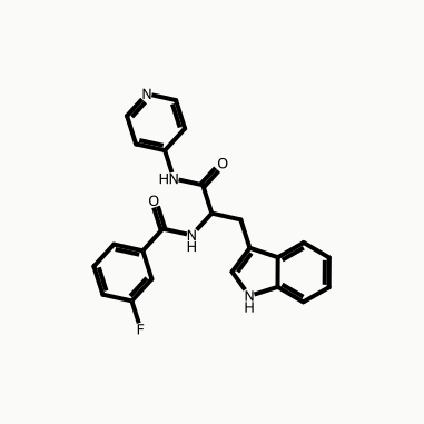 O=C(NC(Cc1c[nH]c2ccccc12)C(=O)Nc1ccncc1)c1cccc(F)c1